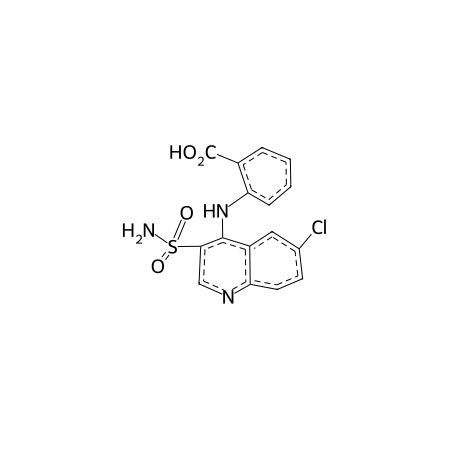 NS(=O)(=O)c1cnc2ccc(Cl)cc2c1Nc1ccccc1C(=O)O